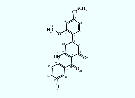 COc1ccc(C2CC(=O)c3c([nH]c4ccc(Cl)cc4c3=O)C2)c(OC)c1